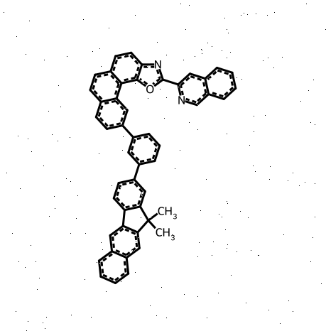 CC1(C)c2cc(-c3cccc(-c4ccc5ccc6ccc7nc(-c8cc9ccccc9cn8)oc7c6c5c4)c3)ccc2-c2cc3ccccc3cc21